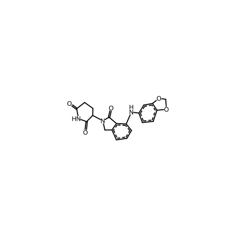 O=C1CCC(N2Cc3cccc(Nc4ccc5c(c4)OCO5)c3C2=O)C(=O)N1